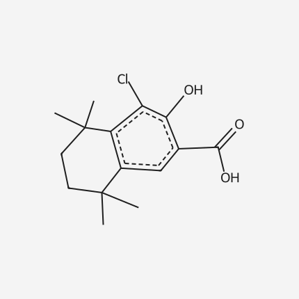 CC1(C)CCC(C)(C)c2c1cc(C(=O)O)c(O)c2Cl